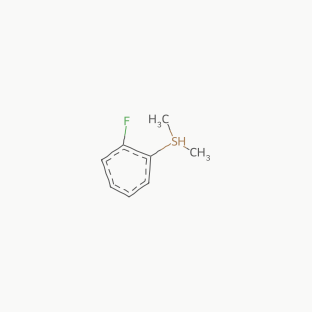 C[SH](C)c1ccccc1F